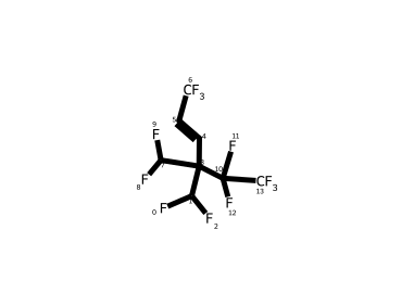 FC(F)C(C=CC(F)(F)F)(C(F)F)C(F)(F)C(F)(F)F